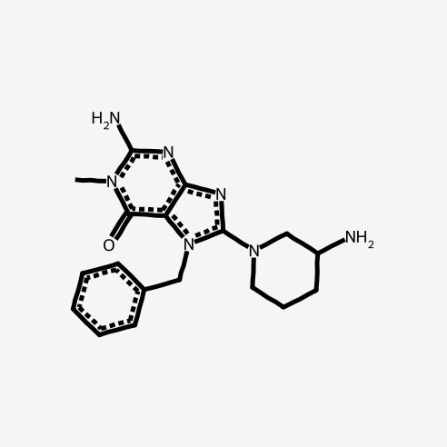 Cn1c(N)nc2nc(N3CCCC(N)C3)n(Cc3ccccc3)c2c1=O